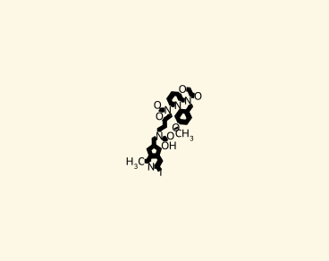 COc1ccc(CN2C(=O)COc3ccc(N4CC(CCN(CC5Cc6cc(I)nc(C)c6C5)C(=O)O)OC4=O)nc32)cc1